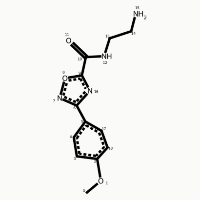 COc1ccc(-c2noc(C(=O)NCCN)n2)cc1